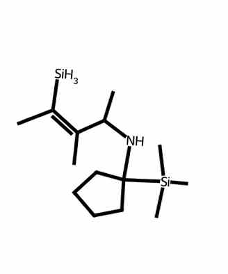 CC([SiH3])=C(C)C(C)NC1([Si](C)(C)C)CCCC1